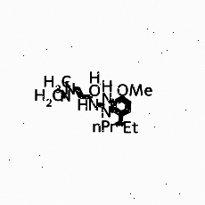 C=NN(C)/C=C/C(O)Nc1nc2c(C(CC)CCC)ccc(OC)c2[nH]1